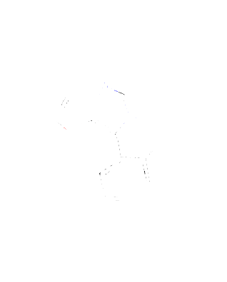 Cc1ccccc1-c1c2occc2nc[n+]1C